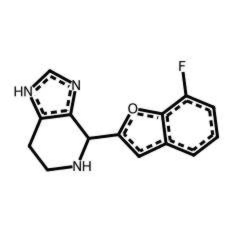 Fc1cccc2cc(C3NCCc4[nH]cnc43)oc12